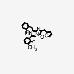 Cc1cccc(-c2cn3c(=O)c(Cc4ccco4)nc-3c(Cc3ccccc3F)[nH]2)c1F